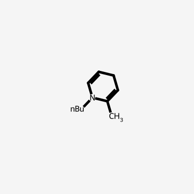 CCCCN1C=CCC=C1C